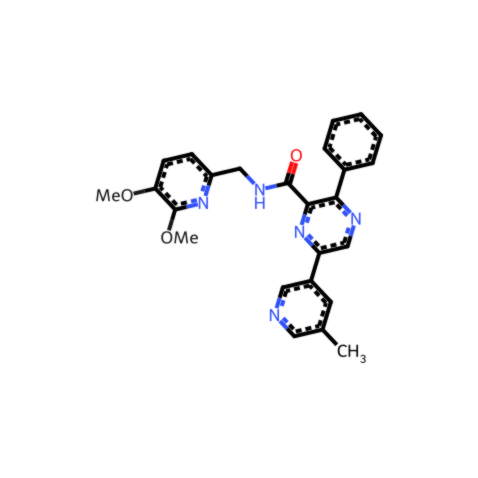 COc1ccc(CNC(=O)c2nc(-c3cncc(C)c3)cnc2-c2ccccc2)nc1OC